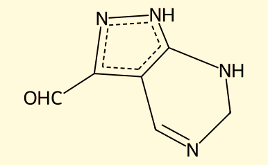 O=Cc1n[nH]c2c1C=NCN2